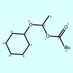 CCC(C)C(=O)OC(C)OC1CCCCC1